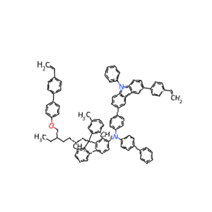 C=Cc1ccc(-c2ccc(OCC(CC)CCC(C)CC3(c4cc(C)ccc4C)c4ccccc4-c4ccc(N(c5ccc(-c6ccccc6)cc5)c5ccc(-c6ccc7c(c6)c6cc(-c8ccc(C=C)cc8)ccc6n7-c6ccccc6)cc5)cc43)cc2)cc1